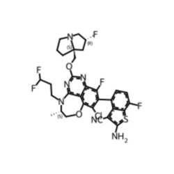 C[C@H]1COc2c(Cl)c(-c3ccc(F)c4sc(N)c(C#N)c34)c(F)c3nc(OC[C@@]45CCCN4C[C@H](F)C5)nc(c23)N1CCC(F)F